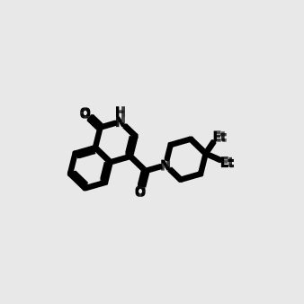 CCC1(CC)CCN(C(=O)c2c[nH]c(=O)c3ccccc23)CC1